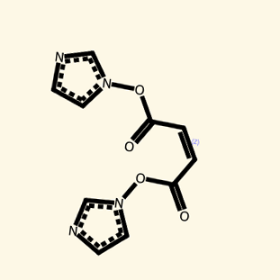 O=C(/C=C\C(=O)On1ccnc1)On1ccnc1